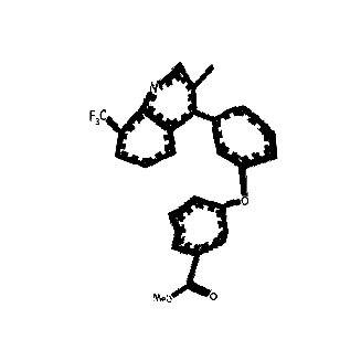 COC(=O)c1cccc(Oc2cccc(-c3c(C)cnc4c(C(F)(F)F)cccc34)c2)c1